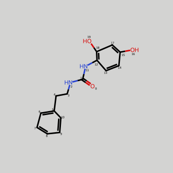 O=C(NCCc1ccccc1)Nc1ccc(O)cc1O